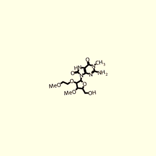 COCCOC1C(OC)C(CO)OC1n1c(=O)[nH]c2c(=O)n(C)c(N)nc21